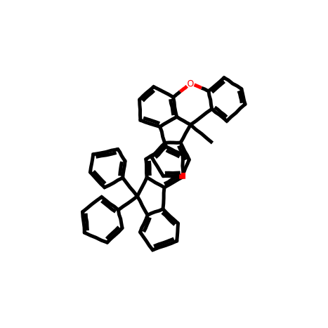 CC1(c2ccccc2)c2ccccc2Oc2cccc(-c3ccc4c(c3)C(c3ccccc3)(c3ccccc3)c3ccccc3-4)c21